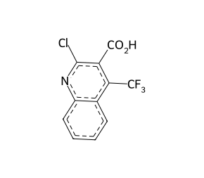 O=C(O)c1c(Cl)nc2ccccc2c1C(F)(F)F